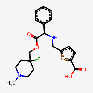 CN1CCC(F)(COC(=O)C(NCc2ccc(C(=O)O)s2)c2ccccc2)CC1